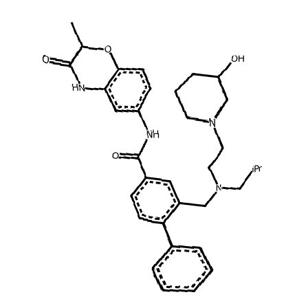 CC(C)CN(CCN1CCCC(O)C1)Cc1cc(C(=O)Nc2ccc3c(c2)NC(=O)C(C)O3)ccc1-c1ccccc1